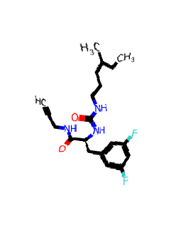 C#CCNC(=O)[C@H](Cc1cc(F)cc(F)c1)NC(=O)NCCCC(C)CC